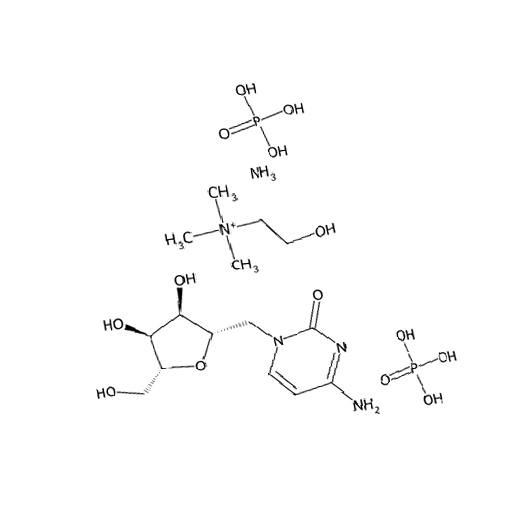 C[N+](C)(C)CCO.N.Nc1ccn(C[C@@H]2O[C@H](CO)[C@@H](O)[C@H]2O)c(=O)n1.O=P(O)(O)O.O=P(O)(O)O